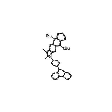 Cc1c(C)n(-c2ccc(-c3cc4ccccc4c4ccccc34)cc2)c2cc3c(C(C)(C)C)c4ccccc4c(C(C)(C)C)c3cc12